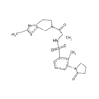 [CH2][C@H](NS(=O)(=O)c1cccc(N2CCCC2=O)c1C)C(=O)N1CCc2nc(C)sc2C1